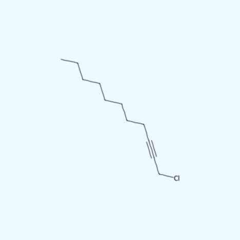 CCCCCCCCC#CCCl